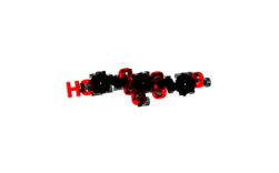 COc1ccc(/C=C/C(=O)Oc2ccc(OC(=O)/C=C/c3ccc(O)cc3)c(OC)c2)cc1